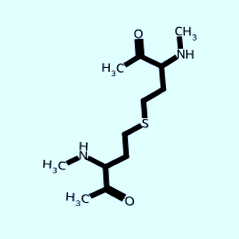 CNC(CCSCCC(NC)C(C)=O)C(C)=O